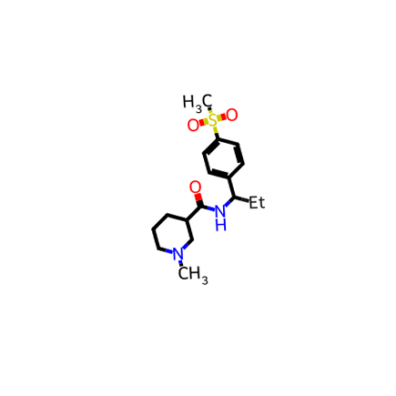 CCC(NC(=O)C1CCCN(C)C1)c1ccc(S(C)(=O)=O)cc1